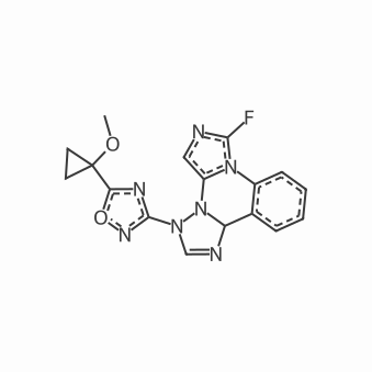 COC1(c2nc(N3C=NC4c5ccccc5-n5c(cnc5F)N43)no2)CC1